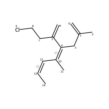 C=C(C)C/C(C(=C)CCCl)=C(C)/C=C\C